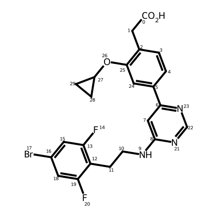 O=C(O)Cc1ccc(-c2cc(NCCc3c(F)cc(Br)cc3F)ncn2)cc1OC1CC1